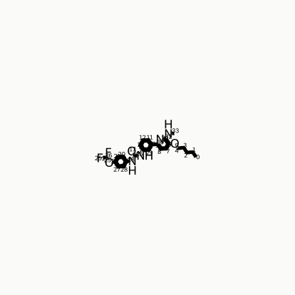 CCCCCOc1ccc(-c2cccc(NC(=O)Nc3ccc(OC(F)F)cc3)c2)nc1NC